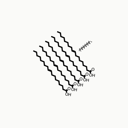 CCCCCCCCC=CCCCCCCCC(=O)O.CCCCCCCCC=CCCCCCCCC(=O)O.CCCCCCCCC=CCCCCCCCC(=O)O.CCCCCCCCC=CCCCCCCCC(=O)O.CCCCCCCCC=CCCCCCCCC(=O)O.[K+].[K+].[K+].[K+].[K+].[K+]